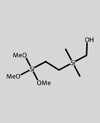 CO[Si](CC[Si](C)(C)CO)(OC)OC